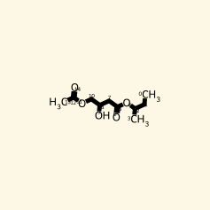 CCC(C)OC(=O)CC(O)COC(C)=O